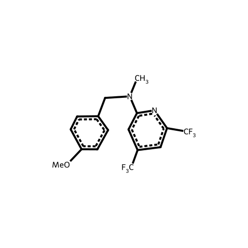 COc1ccc(CN(C)c2cc(C(F)(F)F)cc(C(F)(F)F)n2)cc1